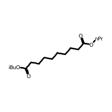 CCCOC(=O)CCCCCCCCC(=O)OCC(C)C